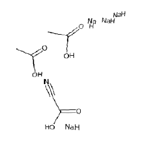 CC(=O)O.CC(=O)O.N#CC(=O)O.[NaH].[NaH].[NaH].[NaH]